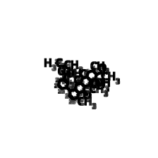 CC(=O)C1C(C)CC2(C)CC3(C)CC4C(C5C=C(C(O)OC(C)C)CCC5)C=CC(C)C4C(=O)C3C(C)C2(C)C1O